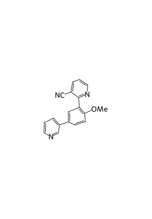 COc1ccc(-c2cccnc2)cc1-c1ncccc1C#N